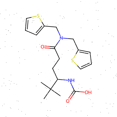 CC(C)(C)C(CCC(=O)N(Cc1cccs1)Cc1cccs1)NC(=O)O